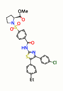 CCc1ccc(-c2sc(NC(=O)c3ccc(S(=O)(=O)N4CCC[C@H]4C(=O)OC)cc3)nc2-c2ccc(Cl)cc2)cc1